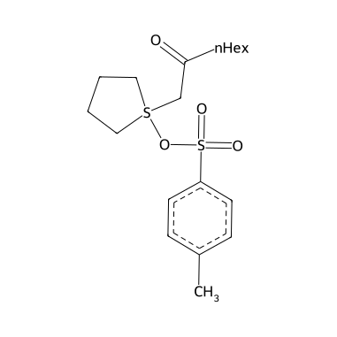 CCCCCCC(=O)CS1(OS(=O)(=O)c2ccc(C)cc2)CCCC1